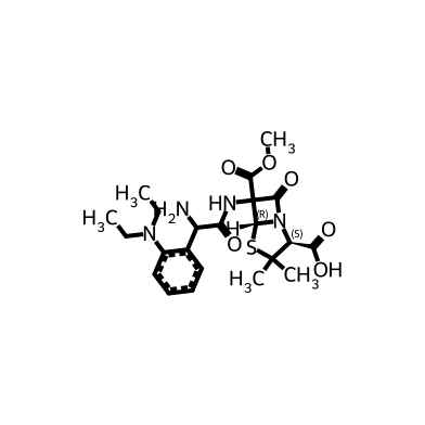 CCN(CC)c1ccccc1C(N)C(=O)NC1(C(=O)OC)C(=O)N2[C@@H](C(=O)O)C(C)(C)S[C@@H]21